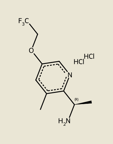 Cc1cc(OCC(F)(F)F)cnc1[C@@H](C)N.Cl.Cl